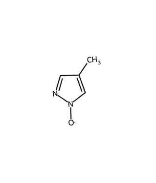 Cc1cnn([O])c1